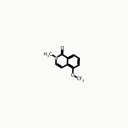 Cn1ccc2c(OC(F)(F)F)cccc2c1=O